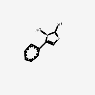 ON1C(c2ccccc2)=CSC1S